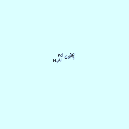 [Ag].[AlH3].[GaH3].[Pd]